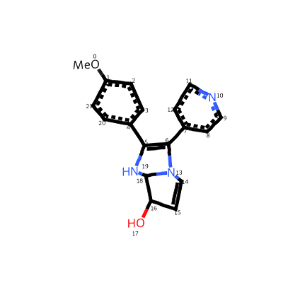 COc1ccc(C2=C(c3ccncc3)N3C=CC(O)C3N2)cc1